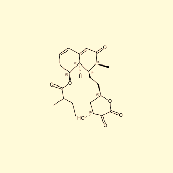 CCC(C)C(=O)O[C@H]1CC=CC2=CC(=O)[C@@H](C)[C@@H](CC[C@@H]3C[C@@H](O)C(=O)C(=O)O3)[C@H]21